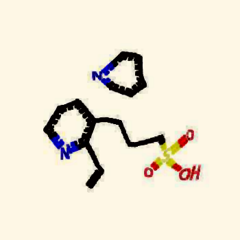 C=Cc1ncccc1CCCS(=O)(=O)O.c1ccncc1